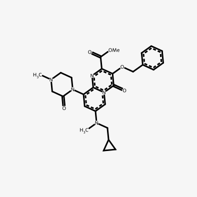 COC(=O)c1nc2c(N3CCN(C)CC3=O)cc(N(C)CC3CC3)cn2c(=O)c1OCc1ccccc1